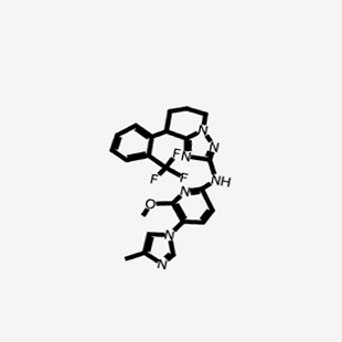 COc1nc(Nc2nc3n(n2)CCCC3c2ccccc2C(F)(F)F)ccc1-n1cnc(C)c1